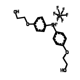 OCCOc1ccc([SH+]c2ccc(OCCO)cc2)cc1.[F][Sb-]([F])([F])([F])([F])[F]